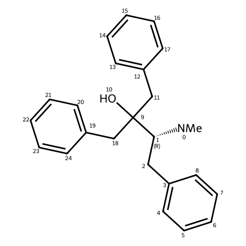 CN[C@H](Cc1ccccc1)C(O)(Cc1ccccc1)Cc1ccccc1